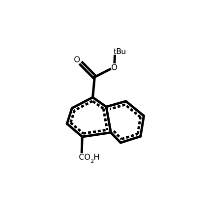 CC(C)(C)OC(=O)c1ccc(C(=O)O)c2ccccc12